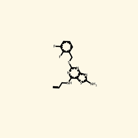 C=CCNc1nc(SCc2cccc(F)c2F)nc2nc(N)sc12